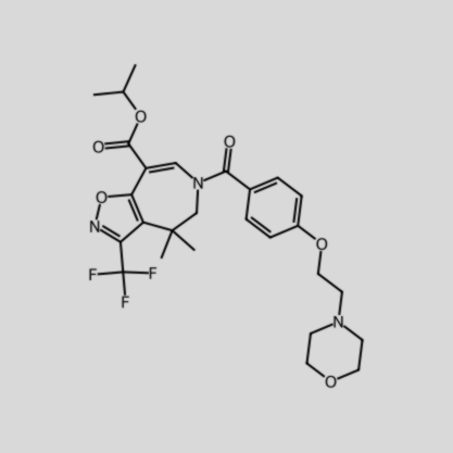 CC(C)OC(=O)C1=CN(C(=O)c2ccc(OCCN3CCOCC3)cc2)CC(C)(C)c2c(C(F)(F)F)noc21